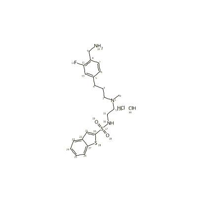 CN(CCCc1ccc(CN)c(F)c1)CCNS(=O)(=O)c1cc2ccccc2s1.Cl.Cl